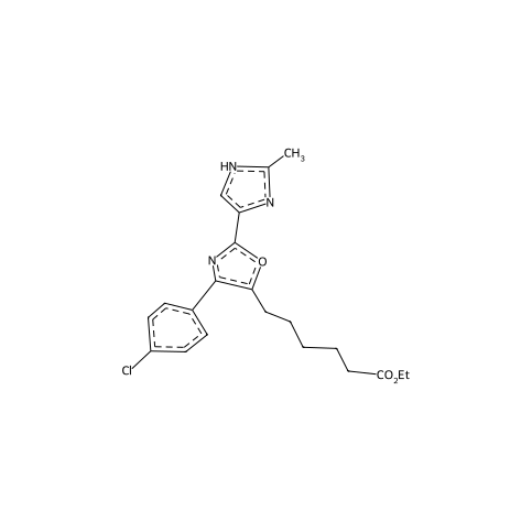 CCOC(=O)CCCCCc1oc(-c2c[nH]c(C)n2)nc1-c1ccc(Cl)cc1